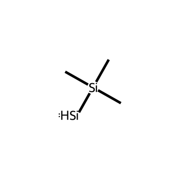 C[Si](C)(C)[SiH]